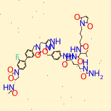 CC(=O)NC[C@H]1CN(c2ccc(-c3ccc(CN(Cc4c[nH]nn4)C(=O)OCc4ccc(NC(=O)[C@H](CCCNC(N)=O)NC(=O)[C@@H](NC(=O)CCCCCN5C(=O)C=CC5=O)C(C)C)cc4)cc3)c(F)c2)C(=O)O1